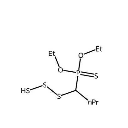 CCCC(SSS)P(=S)(OCC)OCC